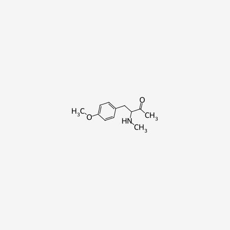 CNC(Cc1ccc(OC)cc1)C(C)=O